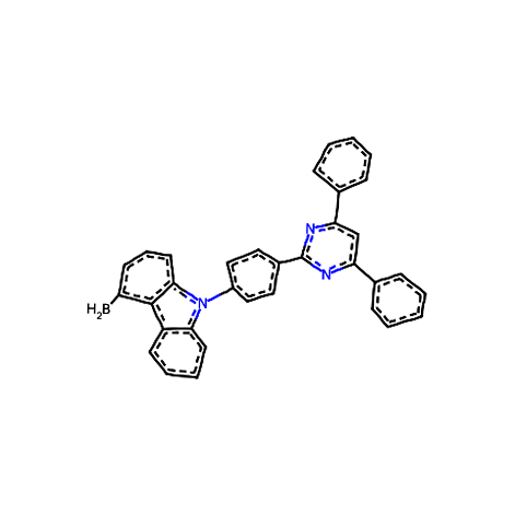 Bc1cccc2c1c1ccccc1n2-c1ccc(-c2nc(-c3ccccc3)cc(-c3ccccc3)n2)cc1